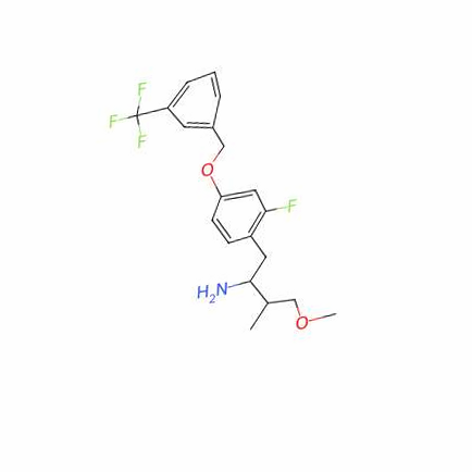 COCC(C)C(N)Cc1ccc(OCc2cccc(C(F)(F)F)c2)cc1F